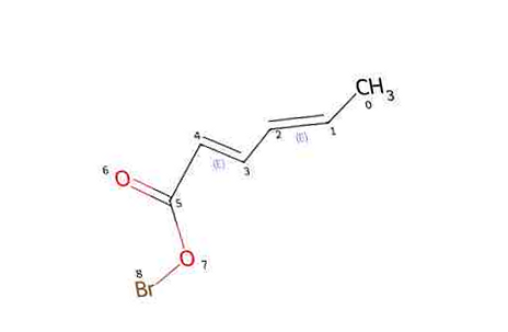 C/C=C/C=C/C(=O)OBr